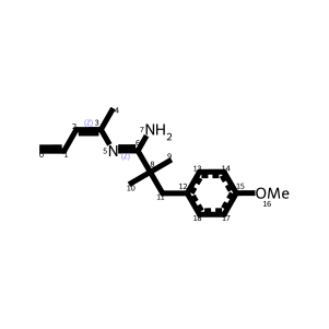 C=C/C=C(C)\N=C(/N)C(C)(C)Cc1ccc(OC)cc1